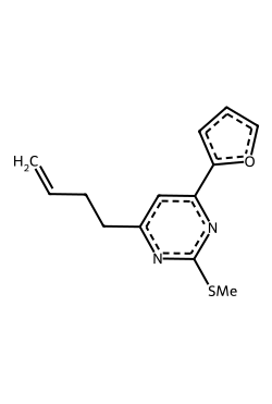 C=CCCc1cc(-c2ccco2)nc(SC)n1